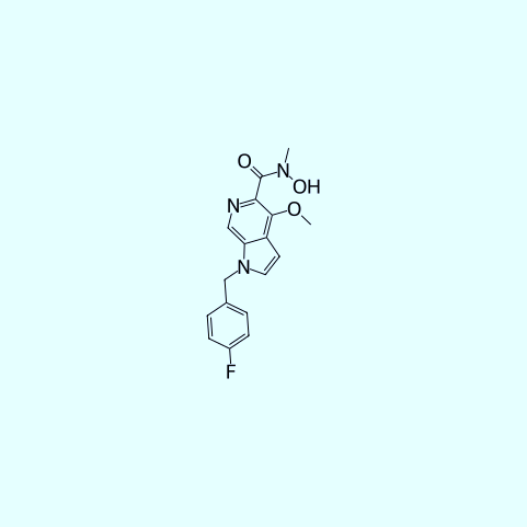 COc1c(C(=O)N(C)O)ncc2c1ccn2Cc1ccc(F)cc1